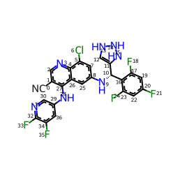 N#Cc1cnc2c(Cl)cc(N[C@H](C3=CNNN3)c3c(F)cc(F)cc3F)cc2c1Nc1cnc(F)c(F)c1